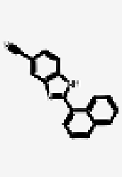 N#Cc1ccc2[nH]c(-c3cccc4ccccc34)nc2c1